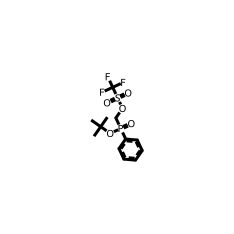 CC(C)(C)OP(=O)(COS(=O)(=O)C(F)(F)F)c1ccccc1